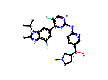 Cc1nc2c(F)cc(-c3nc(Nc4ccc([C@@H](O)[C@H]5CCN(C)C5)cn4)ncc3F)cc2n1C(C)C